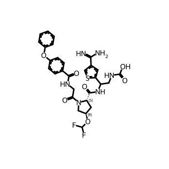 N=C(N)c1csc(C(CNC(=O)O)NC(=O)[C@@H]2C[C@@H](OC(F)F)CN2C(=O)CNC(=O)c2ccc(Oc3ccccc3)cc2)c1